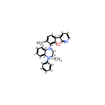 Cc1ccc2c(oc3ncccc32)c1N1C[C@H](C)N(c2ccccc2)c2ccccc21